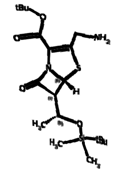 C[C@@H](O[Si](C)(C)C(C)(C)C)[C@H]1C(=O)N2C(C(=O)OC(C)(C)C)=C(CN)S[C@H]12